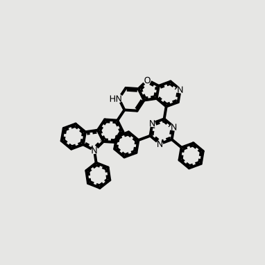 C1=c2oc3cncc(-c4nc(-c5ccccc5)nc(-c5ccccc5)n4)c3c2=CC(c2ccc3c(c2)c2ccccc2n3-c2ccccc2)N1